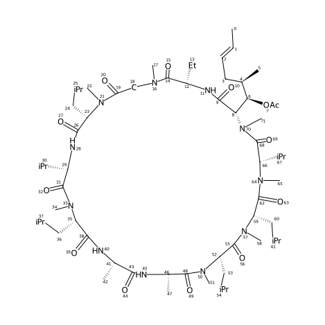 C/C=C/C[C@@H](C)[C@@H](OC(C)=O)[C@H]1C(=O)N[C@@H](CC)C(=O)N(C)CC(=O)N(C)[C@@H](CC(C)C)C(=O)N[C@@H](C(C)C)C(=O)N(C)[C@@H](CC(C)C)C(=O)N[C@@H](C)C(=O)N[C@@H](C)C(=O)N(C)[C@@H](CC(C)C)C(=O)N(C)[C@@H](CC(C)C)C(=O)N(C)[C@@H](C(C)C)C(=O)N1C